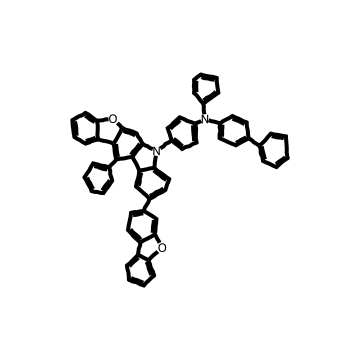 c1ccc(-c2ccc(N(c3ccccc3)c3ccc(-n4c5ccc(-c6ccc7c(c6)oc6ccccc67)cc5c5c(-c6ccccc6)c6c(cc54)oc4ccccc46)cc3)cc2)cc1